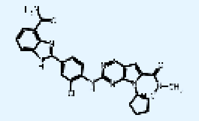 CN(C)C(=O)c1cc2cnc(Nc3ccc(-c4nc5c(C(N)=O)cccc5[nH]4)cc3Cl)nc2n1C1CCCC1